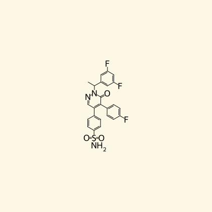 CC(c1cc(F)cc(F)c1)n1ncc(-c2ccc(S(N)(=O)=O)cc2)c(-c2ccc(F)cc2)c1=O